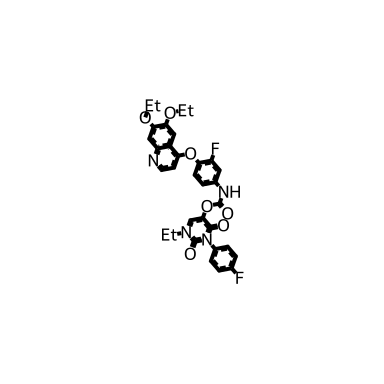 CCOc1cc2nccc(Oc3ccc(NC(=O)Oc4cn(CC)c(=O)n(-c5ccc(F)cc5)c4=O)cc3F)c2cc1OCC